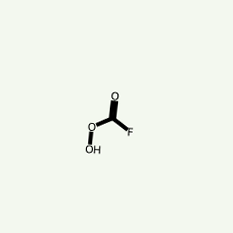 O=C(F)OO